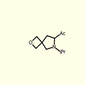 CC(=O)C1CC2(COC2)CN1C(C)C